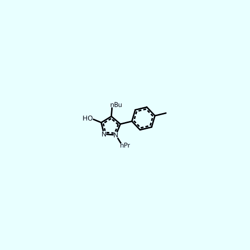 CCCCc1c(O)nn(CCC)c1-c1ccc(C)cc1